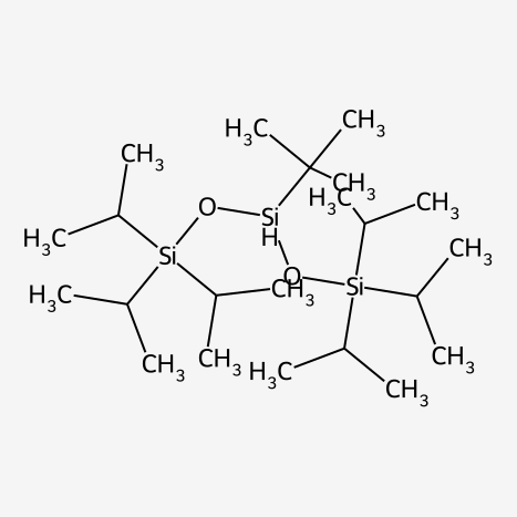 CC(C)[Si](O[SiH](O[Si](C(C)C)(C(C)C)C(C)C)C(C)(C)C)(C(C)C)C(C)C